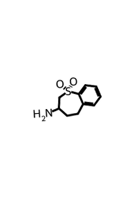 NC1CCc2ccccc2S(=O)(=O)C1